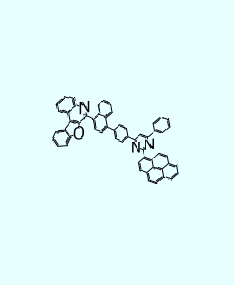 c1ccc(-c2cc(-c3ccc(-c4ccc(-c5nc6ccccc6c6c5oc5ccccc56)c5ccccc45)cc3)nc(-c3ccc4ccc5cccc6ccc3c4c56)n2)cc1